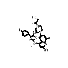 CCN(c1nc(-c2ccc(F)cc2)c(C#N)s1)c1cc(C(C)C)nc2c(F)cc(N3CCN(C(=O)CO)CC3)cc12